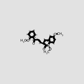 COc1ccc2c(c1)cc(C=CC(=O)c1ccccc1OC)c(=O)n2OC